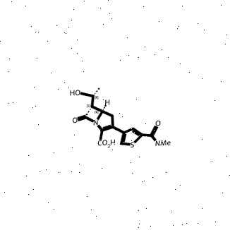 CNC(=O)c1cc(C2=C(C(=O)O)N3C(=O)[C@H]([C@@H](C)O)[C@H]3C2)cs1